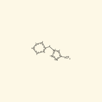 FC(F)(F)c1cn(Cc2ccccc2)nn1